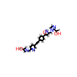 CC(O)c1nccn1Cc1cc(-c2ccc(C#Cc3ccc(CN4CC(O)C4)nc3)cc2)on1